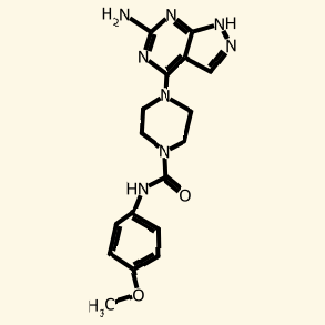 COc1ccc(NC(=O)N2CCN(c3nc(N)nc4[nH]ncc34)CC2)cc1